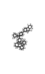 CC1(C)c2ccccc2-c2ccc(-c3ccc(N(c4ccccc4)c4ccc(C5(c6ccccc6)c6ccccc6-c6ccccc65)cc4)cc3)cc21